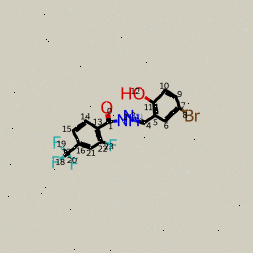 O=C(N/N=C/c1cc(Br)ccc1O)c1ccc(C(F)(F)F)cc1F